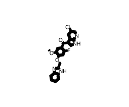 COc1cc(C(=O)c2c[nH]c3ncc(Cl)cc23)c(F)cc1OCc1nc2ccccc2[nH]1